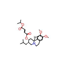 COc1cc2c(cc1OC)[C@H]1C[C@@H](OC(=O)/C=C/C(=O)OC(C)C)[C@H](CC(C)C)CN1CC2